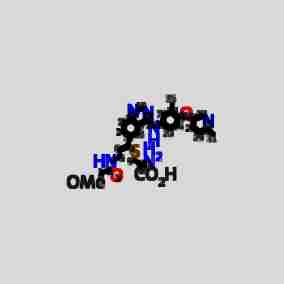 COCC(=O)NCC=C(SCC(N)C(=O)O)c1ccc2ncnc(Nc3ccc(Oc4ccc(C)nc4)c(C)c3)c2c1